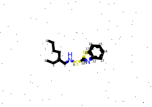 CCCCC(CC)CNSc1nc2ccccc2s1